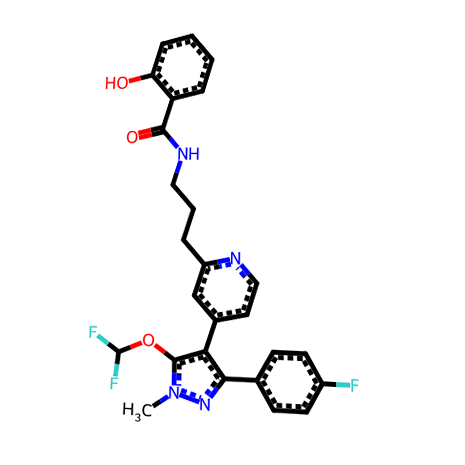 Cn1nc(-c2ccc(F)cc2)c(-c2ccnc(CCCNC(=O)c3ccccc3O)c2)c1OC(F)F